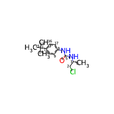 C[C@@H](CCl)NC(=O)Nc1ccc(C(C)(C)C)cc1